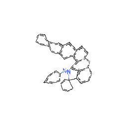 C1=CCC(N=Nc2ccccc2)(c2cccc3cc4ccc5cc6cc7ccccc7cc6cc5c4cc23)C=C1